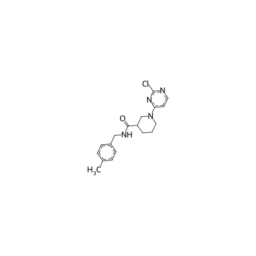 Cc1ccc(CNC(=O)C2CCCN(c3ccnc(Cl)n3)C2)cc1